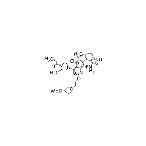 C=CC(=O)N1C[C@H](C)N(c2nc(OCCN3CCC(OC)C3)nc3c(F)c(-c4c(C)ccc5[nH]nc(N)c45)c(Cl)cc23)C[C@H]1C